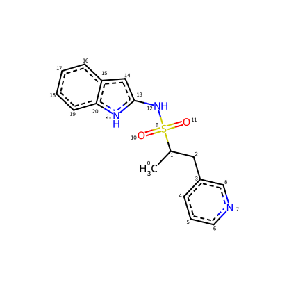 CC(Cc1cccnc1)S(=O)(=O)Nc1cc2ccccc2[nH]1